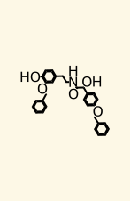 O=C(NCCc1ccc(O)c(OCc2ccccc2)c1)C(O)c1ccc(OCc2ccccc2)cc1